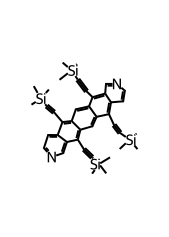 C[Si](C)(C)C#Cc1c2ccncc2c(C#C[Si](C)(C)C)c2cc3c(C#C[Si](C)(C)C)c4ccncc4c(C#C[Si](C)(C)C)c3cc12